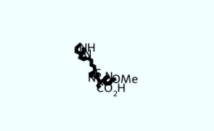 COc1ccc([C@@H](CC(=O)O)c2ncc(CCCc3ccc4c(n3)NCCC4)s2)cn1